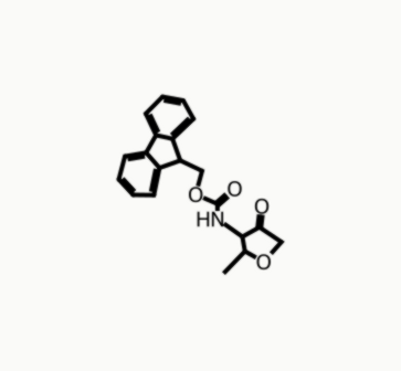 CC1OCC(=O)C1NC(=O)OCC1c2ccccc2-c2ccccc21